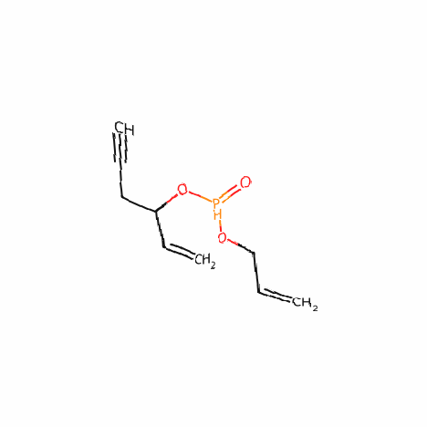 C#CCC(C=C)O[PH](=O)OCC=C